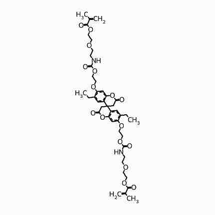 C=C(C)C(=O)OCCOCCNC(=O)OCCOc1cc2c(cc1CC)C1(CC(=O)O2)CC(=O)Oc2cc(OCCOC(=O)NCCOCCOC(=O)C(=C)C)c(CC)cc21